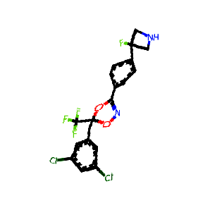 FC1(c2ccc(C3=NOC(c4cc(Cl)cc(Cl)c4)(C(F)(F)F)O3)cc2)CNC1